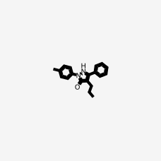 CCCc1c(-c2ccccc2)[nH]n(-c2ccc(C)cc2)c1=O